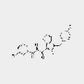 Cc1c(C(=O)C(=O)Nc2cccc(Cl)c2)c2sccc2n1Cc1ccc(Cl)cc1